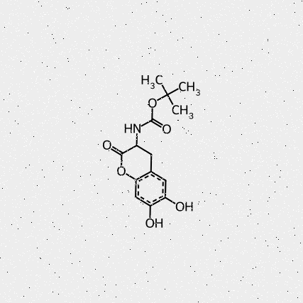 CC(C)(C)OC(=O)NC1Cc2cc(O)c(O)cc2OC1=O